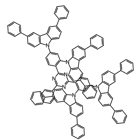 c1ccc(-c2ccc3c(c2)c2cc(-c4ccccc4)ccc2n3-c2ccc(-c3nc(-c4ccccc4)nc(-c4ccc(-n5c6ccc(-c7ccccc7)cc6c6cc(-c7ccccc7)ccc65)cc4-n4c5ccc(-c6ccccc6)cc5c5cc(-c6ccccc6)ccc54)n3)c(-n3c4ccc(-c5ccccc5)cc4c4cc(-c5ccccc5)ccc43)c2)cc1